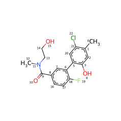 Cc1cc(O)c(-c2cc(C(=O)N(C)CCO)ccc2F)cc1Cl